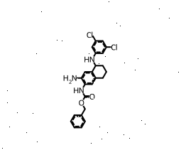 Nc1cc2c(cc1NC(=O)OCc1ccccc1)CCCC2Nc1cc(Cl)cc(Cl)c1